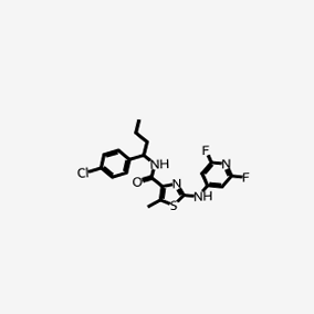 CCCC(NC(=O)c1nc(Nc2cc(F)nc(F)c2)sc1C)c1ccc(Cl)cc1